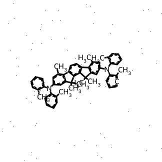 Cc1ccccc1N(c1cc(C)c2c(c1)C(C)(C)c1c-2ccc2c1C(C)(C)c1cc(N(c3ccccc3C)c3ccccc3C)cc(C)c1-2)c1ccccc1C